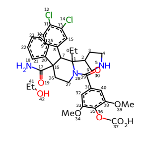 CCC1(C2CCNC2)C(c2ccc(Cl)c(Cl)c2)C(C(N)=O)(c2ccccc2)CCN1C(=O)c1cc(OC)c(OC(=O)O)c(OC)c1.CCO